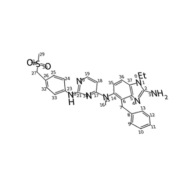 CCn1c(N)nc2c(Cc3ccccc3)c(N(C)c3ccnc(Nc4ccc(CS(C)(=O)=O)cc4)n3)ccc21